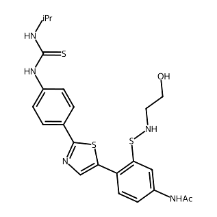 CC(=O)Nc1ccc(-c2cnc(-c3ccc(NC(=S)NC(C)C)cc3)s2)c(SNCCO)c1